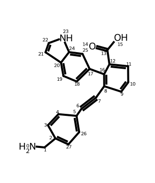 NCc1ccc(C#Cc2cccc(C(=O)O)c2-c2ccc3cc[nH]c3c2)cc1